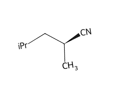 CC(C)C[C@H](C)C#N